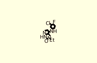 CCN1Cc2c(Nc3ccc(F)c(Cl)c3)ccnc2NC1=O